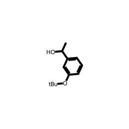 CC(O)c1cccc(OC(C)(C)C)c1